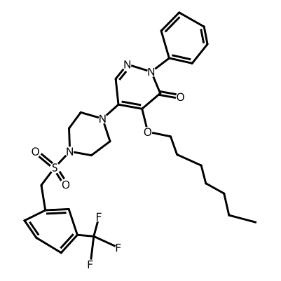 CCCCCCCOc1c(N2CCN(S(=O)(=O)Cc3cccc(C(F)(F)F)c3)CC2)cnn(-c2ccccc2)c1=O